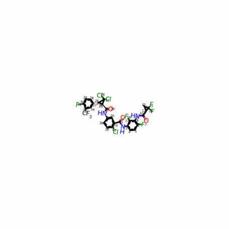 O=C(Nc1ccc(F)c(NC(=O)C2CC2(F)F)c1F)c1cc(NC(=O)[C@H]2[C@H](c3ccc(F)c(C(F)(F)F)c3)C2(Cl)Cl)ccc1Cl